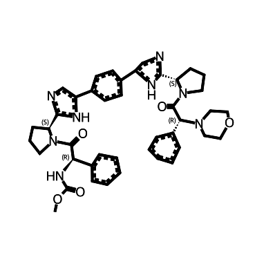 COC(=O)N[C@@H](C(=O)N1CCC[C@H]1c1ncc(-c2ccc(-c3cnc([C@@H]4CCCN4C(=O)[C@@H](c4ccccc4)N4CCOCC4)[nH]3)cc2)[nH]1)c1ccccc1